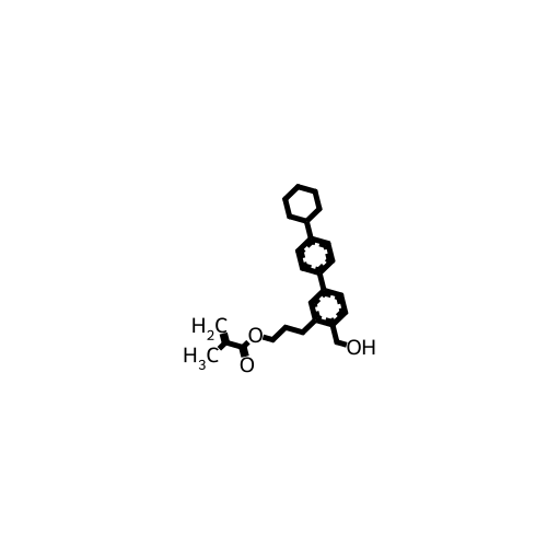 C=C(C)C(=O)OCCCc1cc(-c2ccc(C3CCCCC3)cc2)ccc1CO